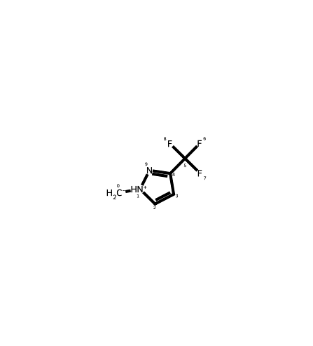 [CH2-][NH+]1C=CC(C(F)(F)F)=N1